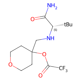 CC(C)(C)[C@H](NCC1(OC(=O)C(F)(F)F)CCOCC1)C(N)=O